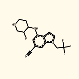 N#Cc1cc(NC2CCNCC2F)c2ccn(CC(F)(F)F)c2c1